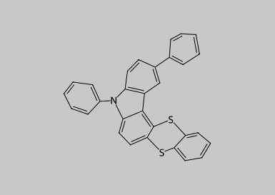 c1ccc(-c2ccc3c(c2)c2c4c(ccc2n3-c2ccccc2)Sc2ccccc2S4)cc1